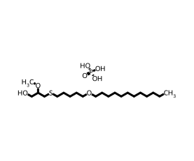 CCCCCCCCCCCCOCCCCCSCC(CO)OC.O=P(O)(O)O